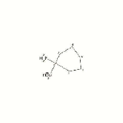 CCCCC1(P)CCCCC1